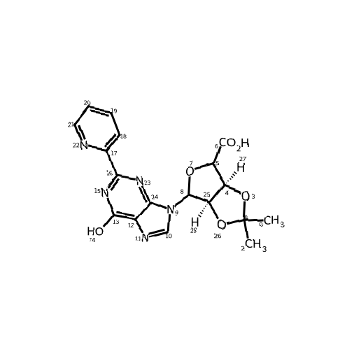 CC1(C)O[C@@H]2C(C(=O)O)OC(n3cnc4c(O)nc(-c5ccccn5)nc43)[C@@H]2O1